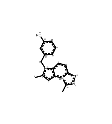 Cc1cc2c(ccc3nnc(C)n32)n1Cc1cccc(C#N)c1